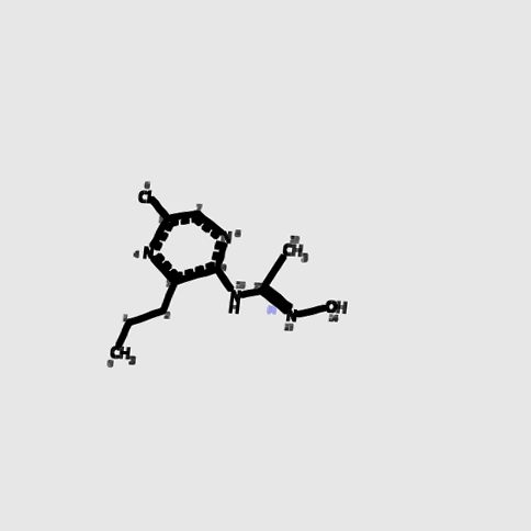 CCCc1nc(Cl)cnc1N/C(C)=N/O